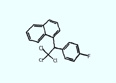 Fc1ccc([C](c2cccc3ccccc23)C(Cl)(Cl)Cl)cc1